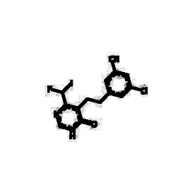 N#Cc1cc(Cl)cc(CCc2c(C(F)I)nc[nH]c2=O)c1